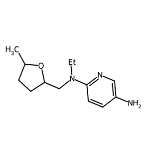 CCN(CC1CCC(C)O1)c1ccc(N)cn1